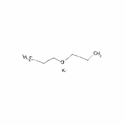 CCCOCCC.[K]